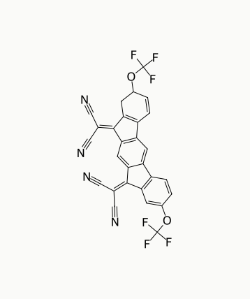 N#CC(C#N)=C1C2=C(C=CC(OC(F)(F)F)C2)c2cc3c(cc21)C(=C(C#N)C#N)c1cc(OC(F)(F)F)ccc1-3